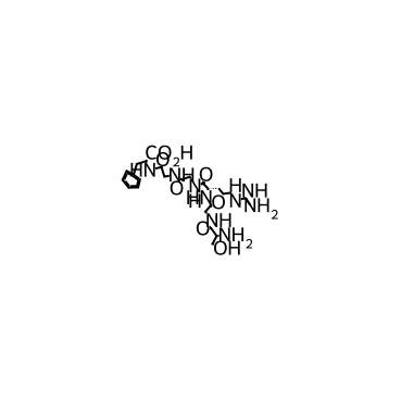 N=C(N)NCCC[C@H](NC(=O)CNC(=O)[C@@H](N)CO)C(=O)NCC(=O)NCC(=O)N[C@@H](Cc1ccccc1)C(=O)O